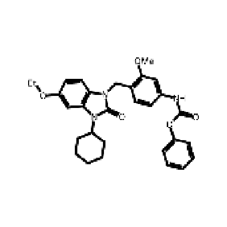 CCOc1ccc2c(c1)n(C1CCCCC1)c(=O)n2Cc1ccc(NC(=O)Oc2ccccc2)cc1OC